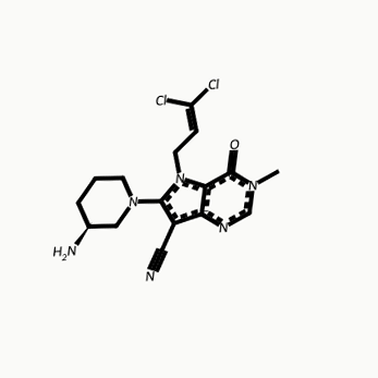 Cn1cnc2c(C#N)c(N3CCC[C@H](N)C3)n(CC=C(Cl)Cl)c2c1=O